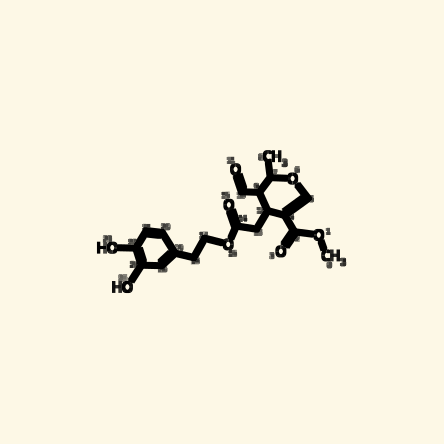 COC(=O)C1=COC(C)C(C=O)C1CC(=O)OCCc1ccc(O)c(O)c1